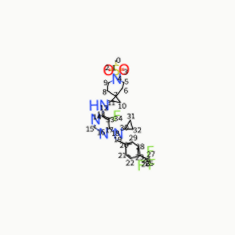 CS(=O)(=O)N1CCC2(CC1)CC2Nc1ncnc(N(Cc2ccc(C(F)(F)F)cc2)C2CC2)c1F